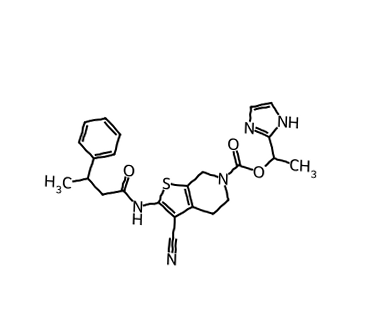 CC(CC(=O)Nc1sc2c(c1C#N)CCN(C(=O)OC(C)c1ncc[nH]1)C2)c1ccccc1